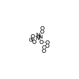 c1cc(-c2nc(-c3ccc4ccccc4c3)nc(-c3cccc4oc5ccccc5c34)n2)cc(-c2cccc3ccc4c5ccccc5ccc4c23)c1